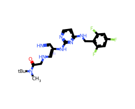 CN(C(=O)CN/C=C(\C=N)Nc1nccc(NCc2c(F)cc(F)cc2F)n1)C(C)(C)C